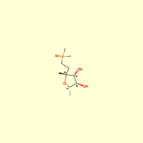 C=P(C)(C)CC[C@@]1(C)O[C@@H](C)[C@H](O)[C@@H]1O